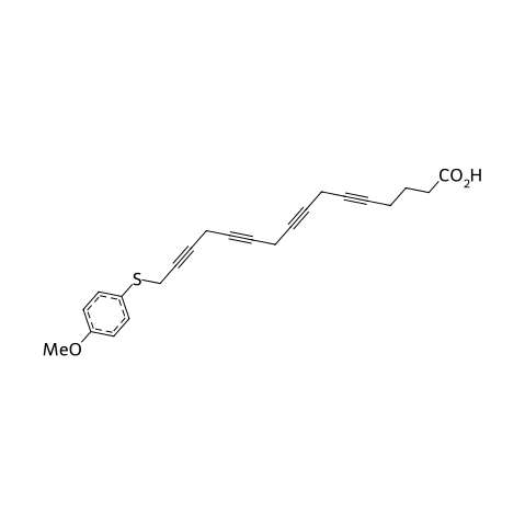 COc1ccc(SCC#CCC#CCC#CCC#CCCCC(=O)O)cc1